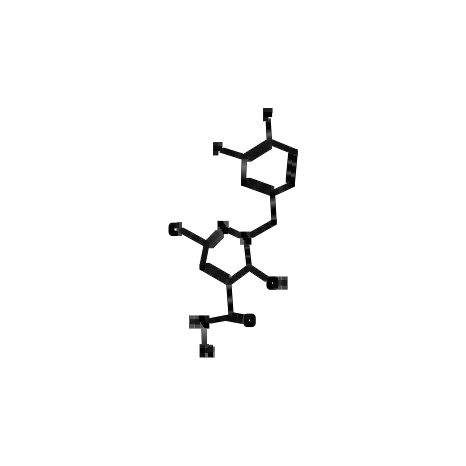 CCNC(=O)C1=CC(Cl)=NN(Cc2ccc(F)c(F)c2)C1O